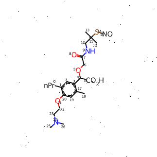 CCCc1cc(C(OCC(=O)NCC(C)(C)SN=O)C(=O)O)c(C)cc1OCCN(C)C